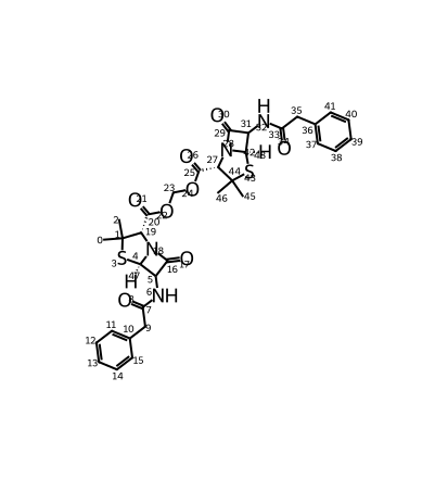 CC1(C)S[C@@H]2C(NC(=O)Cc3ccccc3)C(=O)N2[C@H]1C(=O)OCOC(=O)[C@@H]1N2C(=O)C(NC(=O)Cc3ccccc3)[C@H]2SC1(C)C